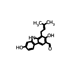 CC(C)=CCc1c(O)c(C=O)cc2c1[nH]c1cc(O)ccc12